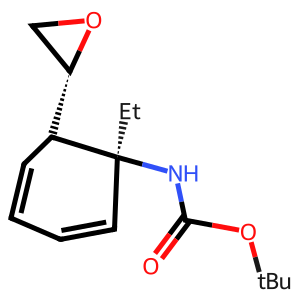 CC[C@]1(NC(=O)OC(C)(C)C)C=CC=CC1[C@@H]1CO1